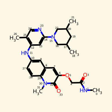 CNC(=O)COc1cc2cc(Nc3cc(N4CC(C)CC(C)C4)ncc3C)ccc2n(C)c1=O